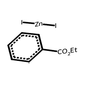 CCOC(=O)c1[c]cccc1.[I][Zn][I]